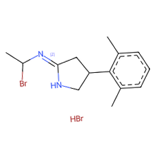 Br.Cc1cccc(C)c1C1CN/C(=N\C(C)Br)C1